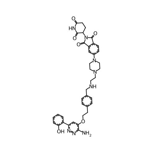 Nc1nnc(-c2ccccc2O)cc1OCCc1ccc(CNCCN2CCN(c3ccc4c(c3)C(=O)N(C3CCC(=O)NC3=O)C4=O)CC2)cc1